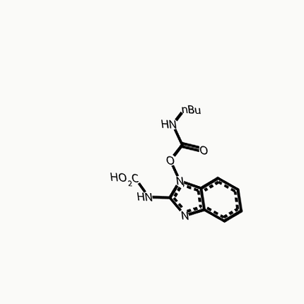 CCCCNC(=O)On1c(NC(=O)O)nc2ccccc21